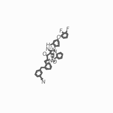 Cc1cc(Oc2cccc(F)c2F)ccc1-n1ncc(C(=O)c2cc3c(Cc4cccc(C#N)c4)cccc3n2S(=O)(=O)c2ccccc2)c1N